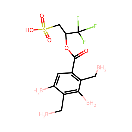 BCc1c(B)cc(C(=O)OC(CS(=O)(=O)O)C(F)(F)F)c(CB)c1B